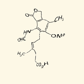 COc1c(C)c2c(c(NC=O)c1CC=C(C)CCC(=O)O)C(=O)OC2